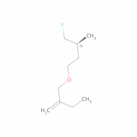 C=C(CC)COCC[C@H](C)CF